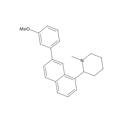 COc1cccc(-c2ccc3cccc(C4CCCCN4C)c3c2)c1